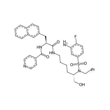 CC(C)CN([C@H](CO)CCCCNC(=O)[C@H](Cc1ccc2ccccc2c1)NC(=O)c1ccncc1)S(=O)(=O)c1ccc(F)c(N)c1